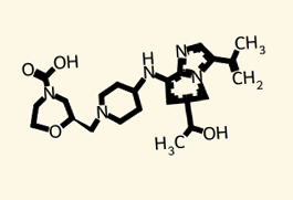 C=C(C)c1cnc2c(NC3CCN(C[C@@H]4CN(C(=O)O)CCO4)CC3)cc(C(C)O)cn12